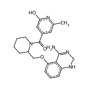 Cc1cc(C(=O)N2CCCCC2COc2cccc3c2C(N)=NSN3)cc(O)n1